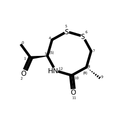 CC(=O)[C@H]1CSSC[C@H](C)C(=O)N1